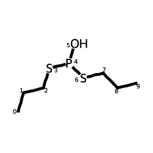 CCCSP(O)SCCC